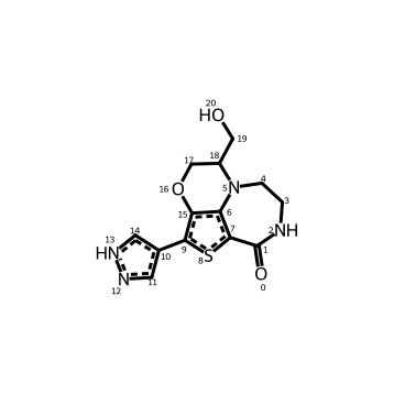 O=C1NCCN2c3c1sc(-c1cn[nH]c1)c3OCC2CO